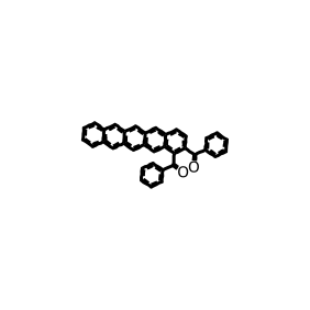 O=C(c1ccccc1)c1ccc2cc3cc4cc5ccccc5cc4cc3cc2c1C(=O)c1ccccc1